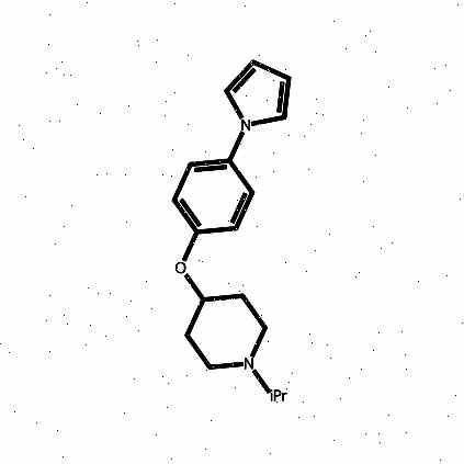 CC(C)N1CCC(Oc2ccc(-n3cccc3)cc2)CC1